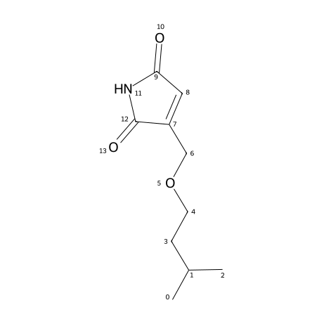 CC(C)CCOCC1=CC(=O)NC1=O